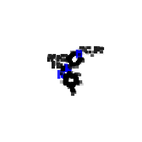 CCOC(=O)N1CC[C@@H](n2c(C(C)C)nc3cc(C)ccc32)[C@H](OC)C1